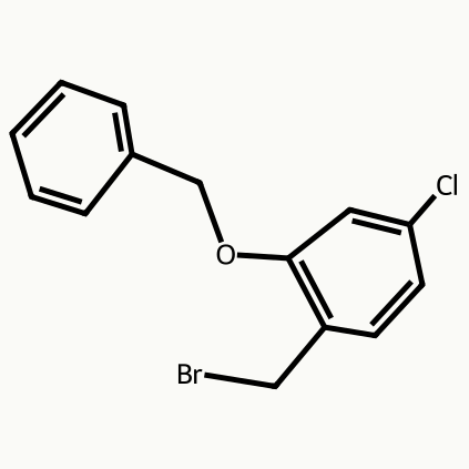 Clc1ccc(CBr)c(OCc2ccccc2)c1